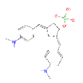 CN(C)c1ccc(C=C2CCC(=Cc3ccc(N(C)C)cc3)C2)cc1.[O-][Cl+3]([O-])([O-])O